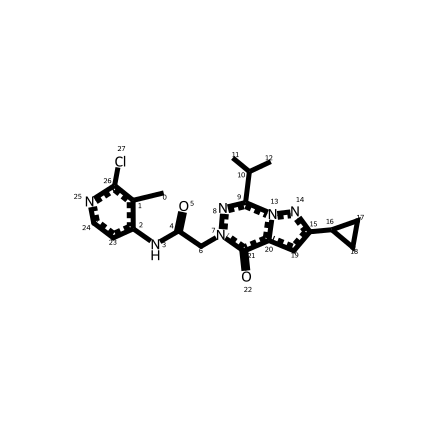 Cc1c(NC(=O)Cn2nc(C(C)C)n3nc(C4CC4)cc3c2=O)ccnc1Cl